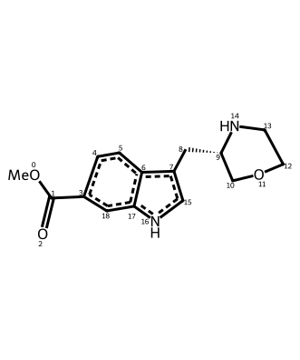 COC(=O)c1ccc2c(C[C@H]3COCCN3)c[nH]c2c1